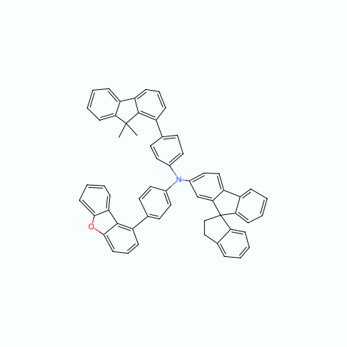 CC1(C)c2ccccc2-c2cccc(-c3ccc(N(c4ccc(-c5cccc6oc7ccccc7c56)cc4)c4ccc5c(c4)C4(CCc6ccccc64)c4ccccc4-5)cc3)c21